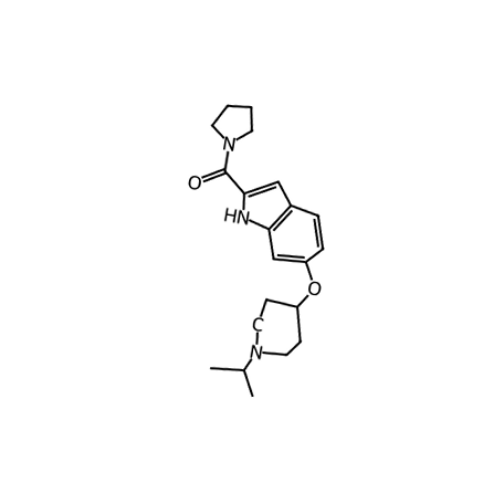 CC(C)N1CCC(Oc2ccc3cc(C(=O)N4CCCC4)[nH]c3c2)CC1